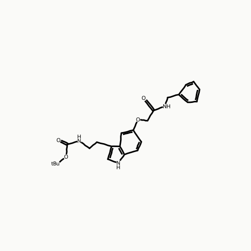 CC(C)(C)OC(=O)NCCc1c[nH]c2ccc(OCC(=O)NCc3ccccc3)cc12